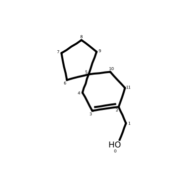 OCC1=CCC2(CCCC2)CC1